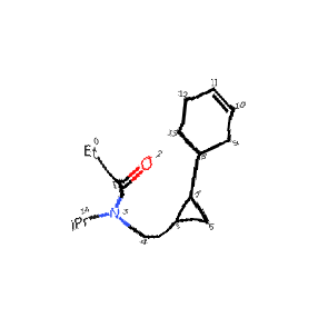 CCC(=O)N(CC1CC1C1CC=CCC1)C(C)C